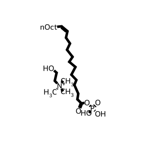 CCCCCCCC/C=C\CCCCCCCCCCCC(=O)OP(=O)(O)O.C[N+](C)(C)CCO